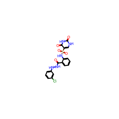 O=C(NNc1cccc(Cl)c1)c1ccccc1NS(=O)(=O)c1c[nH]c(=O)[nH]c1=O